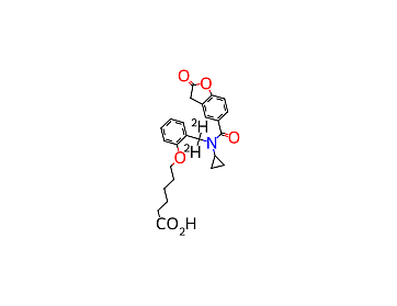 [2H]C([2H])(c1ccccc1OCCCCCC(=O)O)N(C(=O)c1ccc2c(c1)CC(=O)O2)C1CC1